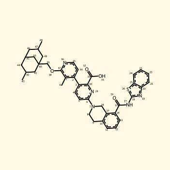 Cc1c(-c2ccc(N3CCc4cccc(C(=O)Nc5nc6ccccc6s5)c4C3)nc2C(=O)O)ccnc1OCC12CC(C)CC(CC(C)C1)C2